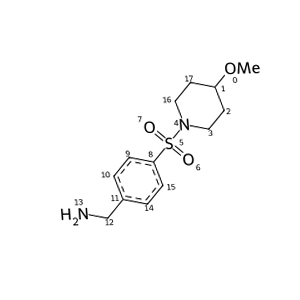 COC1CCN(S(=O)(=O)c2ccc(CN)cc2)CC1